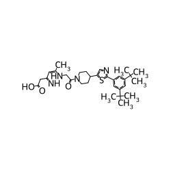 C/C(=C/C(=N)CC(=O)O)NCC(=O)N1CCC(c2cnc(-c3cc(C(C)(C)C)cc(C(C)(C)C)c3)s2)CC1